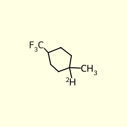 [2H]C1(C)CCC(C(F)(F)F)CC1